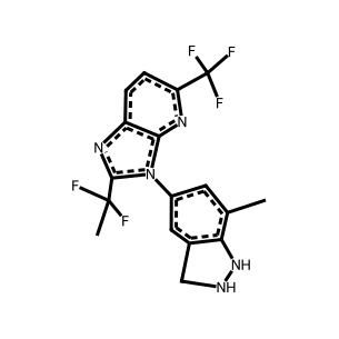 Cc1cc(-n2c(C(C)(F)F)nc3ccc(C(F)(F)F)nc32)cc2c1NNC2